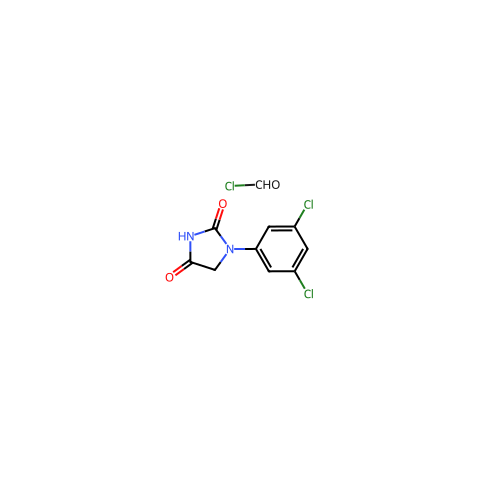 O=C1CN(c2cc(Cl)cc(Cl)c2)C(=O)N1.O=CCl